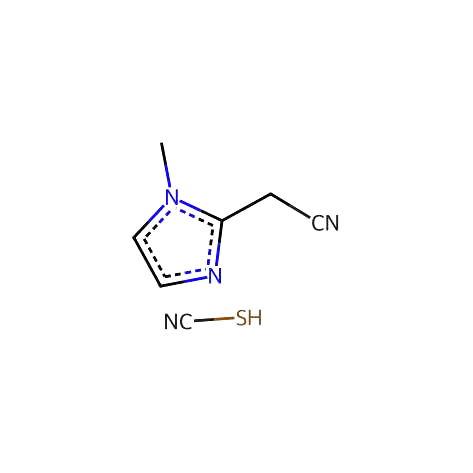 Cn1ccnc1CC#N.N#CS